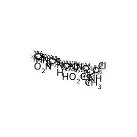 Cc1[nH]c(-c2ccc(Cl)cc2)c(-c2cccc(N3CCN(c4ccc(NSc5ccc(NSc6ccccc6)c([N+](=O)[O-])c5)cc4)CC3)c2)c1C(=O)O